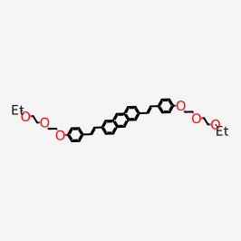 CCOCCOCCOc1ccc(/C=C/c2ccc3cc4cc(/C=C/c5ccc(OCCOCCOCC)cc5)ccc4cc3c2)cc1